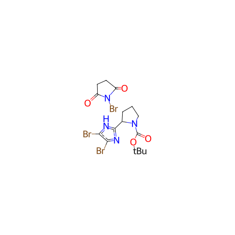 CC(C)(C)OC(=O)N1CCCC1c1nc(Br)c(Br)[nH]1.O=C1CCC(=O)N1Br